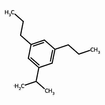 [CH2]C(C)c1cc(CCC)cc(CCC)c1